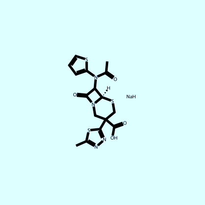 CC(=O)N(c1cccs1)C1C(=O)N2CC(C(=O)O)(c3nnc(C)s3)CS[C@H]12.[NaH]